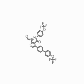 CN(C(=O)c1c(-c2ccc(-c3ccc(OC(F)(F)F)cc3)cc2)csc1NC=O)c1ccc(OC(F)(F)F)cc1